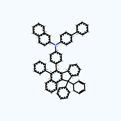 C1=CCC(C2(c3ccccc3)c3ccccc3-c3c(-c4ccc(N(c5ccc(-c6ccccc6)cc5)c5ccc6ccccc6c5)cc4)c(-c4ccccc4)c4ccccc4c32)C=C1